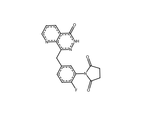 O=C1CCC(=O)N1c1cc(Cc2n[nH]c(=O)c3cccnc23)ccc1F